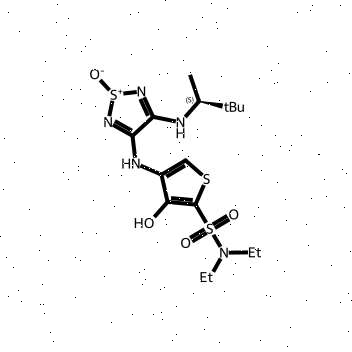 CCN(CC)S(=O)(=O)c1scc(Nc2n[s+]([O-])nc2N[C@@H](C)C(C)(C)C)c1O